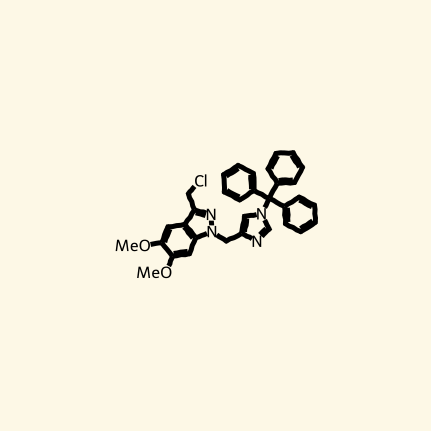 COc1cc2c(CCl)nn(Cc3cn(C(c4ccccc4)(c4ccccc4)c4ccccc4)cn3)c2cc1OC